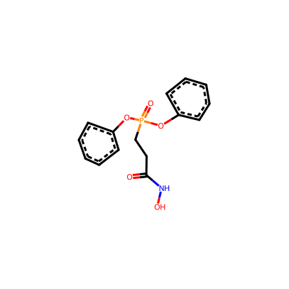 O=C(CCP(=O)(Oc1ccccc1)Oc1ccccc1)NO